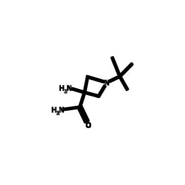 CC(C)(C)N1CC(N)(C(N)=O)C1